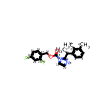 Cc1cccc([C@H](C)c2nccn2C(=O)OCc2ccc(F)cc2F)c1C